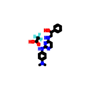 CN(C)c1ccc(Nc2nccc(NCC(O)c3ccccc3)n2)cc1.O=C(O)C(F)(F)F